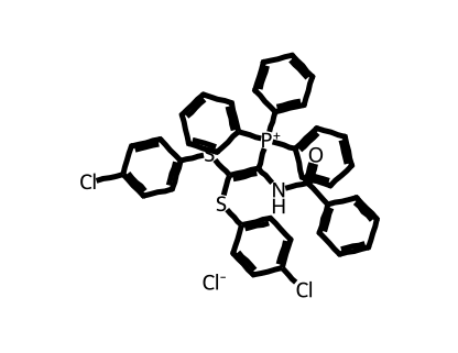 O=C(NC(=C(Sc1ccc(Cl)cc1)Sc1ccc(Cl)cc1)[P+](c1ccccc1)(c1ccccc1)c1ccccc1)c1ccccc1.[Cl-]